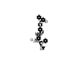 O=[N+]([O-])c1cc(S(=O)(=O)Nc2ncnc3cc(N4CCN(Cc5cc(Cl)ccc5-c5ccccc5)CC4)ccc23)ccc1N[C@H](CCNC1CC1)CSc1ccccc1